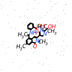 Cc1cc([C@@H](C)Nc2ccccc2C(=O)O)c2cc(-c3cnc(C(C)(C)O)nc3)n(C)c(=O)c2c1